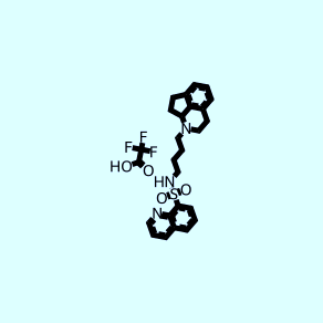 O=C(O)C(F)(F)F.O=S(=O)(NCCCCN1CCc2cccc3c2C1CC3)c1cccc2cccnc12